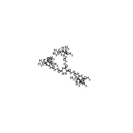 CC1(C)CC(COCCOC2CC(OCCOCC3CC(C)(C)N(O)C3(C)C)CCC2OCCOCC2CC(C)(C)N(O)C2(C)C)C(C)(C)N1